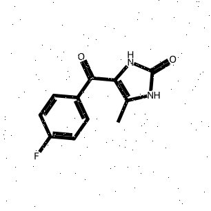 Cc1[nH]c(=O)[nH]c1C(=O)c1ccc(F)cc1